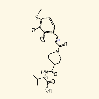 CSc1ccc(/C=C/C(=O)N2CCC(C(=O)N[C@H](C(=O)O)C(C)C)CC2)c(Cl)c1Cl